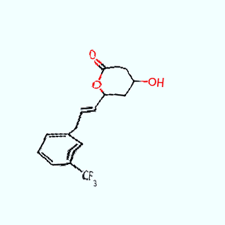 O=C1CC(O)CC(C=Cc2cccc(C(F)(F)F)c2)O1